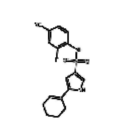 N#Cc1ccc(NS(=O)(=O)c2c[nH]c(C3=CCCCC3)c2)c(F)c1